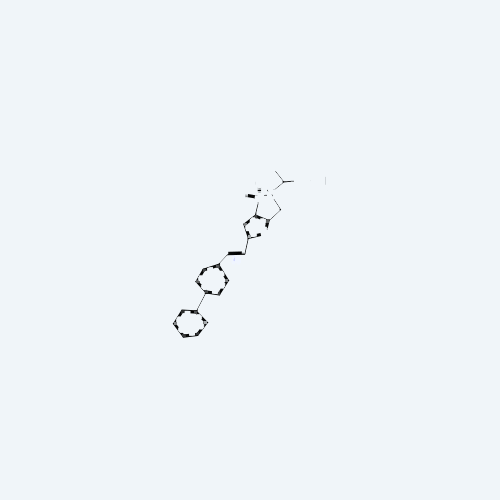 CCC(C(=O)O)N1Cc2sc(/C=C/c3ccc(-c4ccccc4)cc3)cc2S1(=O)=O